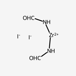 O=C[NH][Zr+2][NH]C=O.[I-].[I-]